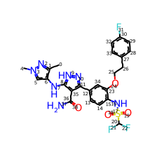 Cc1nn(C)cc1Nc1[nH]nc(-c2ccc(NS(=O)(=O)C(F)F)c(OCCc3ccc(F)cc3)c2)c1C(N)=O